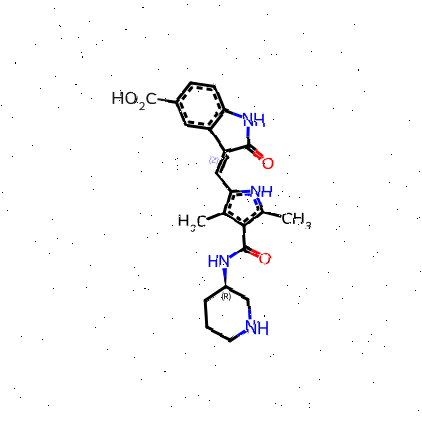 Cc1[nH]c(/C=C2\C(=O)Nc3ccc(C(=O)O)cc32)c(C)c1C(=O)N[C@@H]1CCCNC1